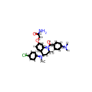 CC(=O)N(c1ccc(Cl)cc1)[C@@H]1C[C@H](C)N(C(=O)c2ccc(N(C)C)cc2)c2cc(OCC(N)=O)ccc21